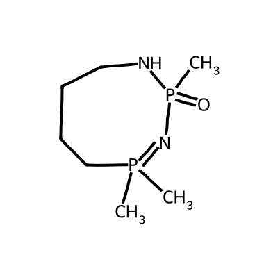 CP1(=O)N=P(C)(C)CCCCN1